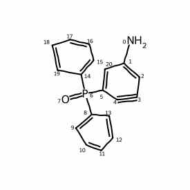 Nc1cc#cc(P(=O)(c2ccccc2)c2ccccc2)c1